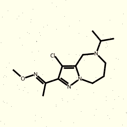 CO/N=C(\C)c1nn2c(c1Cl)CN(C(C)C)CCC2